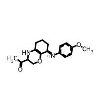 COc1ccc(/N=C2\CCCC3=C2OCC(C(C)=O)N3)cc1